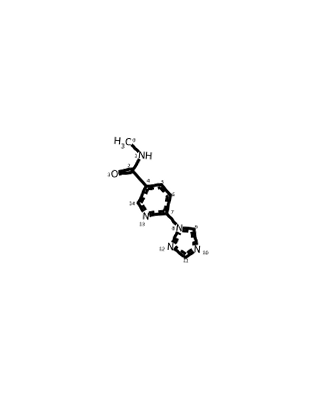 CNC(=O)c1ccc(-n2cncn2)nc1